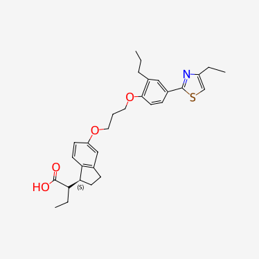 CCCc1cc(-c2nc(CC)cs2)ccc1OCCCOc1ccc2c(c1)CC[C@H]2C(CC)C(=O)O